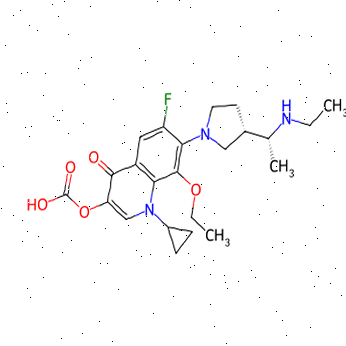 CCN[C@H](C)[C@H]1CCN(c2c(F)cc3c(=O)c(OC(=O)O)cn(C4CC4)c3c2OCC)C1